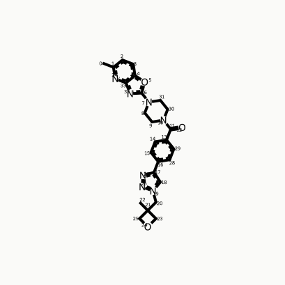 Cc1ccc2oc(N3CCN(C(=O)c4ccc(-c5cn(CC6(C)COC6)nn5)cc4)CC3)nc2n1